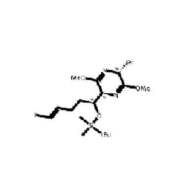 COC1=N[C@H](C(C)C)C(OC)=N[C@H]1[C@H](CCC=CI)O[Si](C)(C)C(C)(C)C